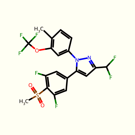 Cc1ccc(-n2nc(C(F)F)cc2-c2cc(F)c(S(C)(=O)=O)c(F)c2)cc1OC(F)(F)F